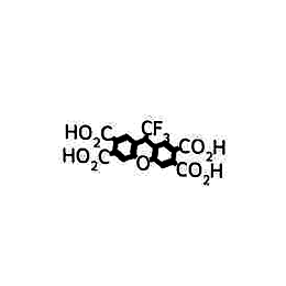 O=C(O)c1cc2c(cc1C(=O)O)C(C(F)(F)F)c1cc(C(=O)O)c(C(=O)O)cc1O2